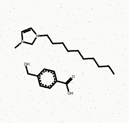 CCCCCCCCCCN1C=CN(C)C1.O=C(O)c1ccc(CO)cc1